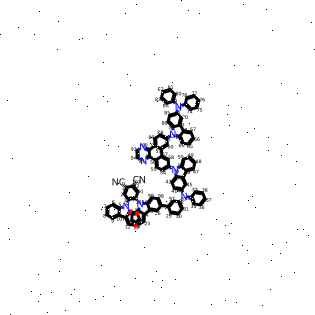 N#Cc1cc(-n2c3ccccc3c3ccccc32)c(-n2c3ccccc3c3cc(-c4cccc(N(c5ccccc5)c5ccc6c(c5)c5ccccc5n6-c5ccc6c(c5)c5cc(-n7c8ccccc8c8cc(N(c9ccccc9)c9ccccc9)ccc87)ccc5c5nccnc65)c4)ccc32)cc1C#N